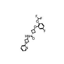 O=C(NC1CN(c2ccccn2)C1)[C@H]1C[C@H](Oc2cc(F)ccc2OC(F)F)C1